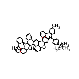 Cc1ccc(N(c2ccc([Si](C)(C)C)cc2)c2ccc3c(c2)Oc2cccc4c2c-3cc2c3ccccc3c(B(c3ccccc3-c3ccccc3)c3c(C)cccc3C)cc42)c(-c2ccccc2)c1